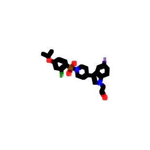 CC(C)Oc1ccc(S(=O)(=O)N2CC=C(c3cn(CC=O)c4ccc(I)cc34)CC2)c(F)c1